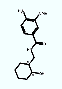 COc1cc(C(=O)NC[C@@H]2CCCC[C@@H]2O)ccc1N